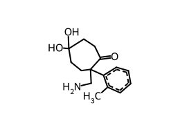 Cc1ccccc1C1(CN)CCC(O)(O)CCC1=O